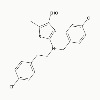 Cc1sc(N(CCc2ccc(Cl)cc2)Cc2ccc(Cl)cc2)nc1C=O